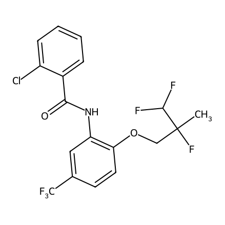 CC(F)(COc1ccc(C(F)(F)F)cc1NC(=O)c1ccccc1Cl)C(F)F